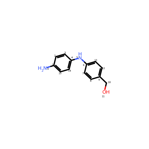 Nc1ccc(Nc2ccc(CO)cc2)cc1